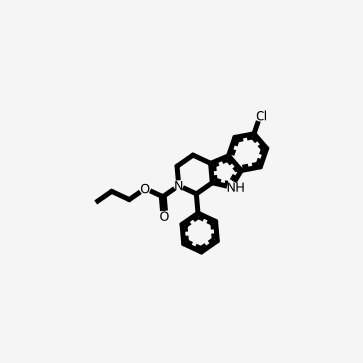 CCCOC(=O)N1CCc2c([nH]c3ccc(Cl)cc23)C1c1ccccc1